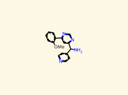 COc1ccccc1-c1cc(C(N)c2ccncc2)ncn1